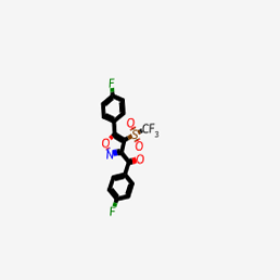 O=C(c1ccc(F)cc1)c1noc(-c2ccc(F)cc2)c1S(=O)(=O)C(F)(F)F